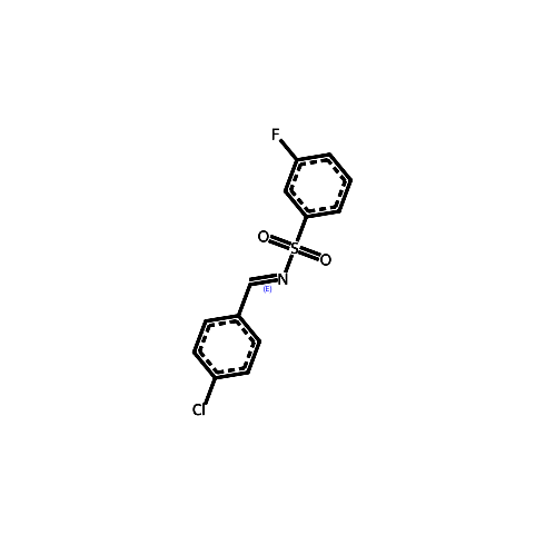 O=S(=O)(/N=C/c1ccc(Cl)cc1)c1cccc(F)c1